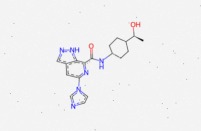 C[C@H](O)C1CCC(NC(=O)c2nc(-n3ccnc3)cc3cn[nH]c23)CC1